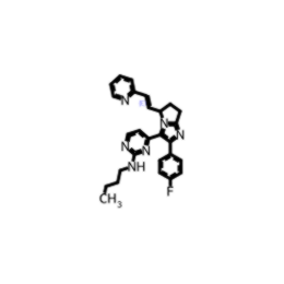 CCCCNc1nccc(-c2c(-c3ccc(F)cc3)nc3n2C(/C=C/c2ccccn2)CC3)n1